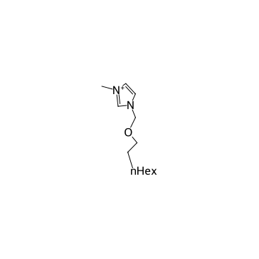 CCCCCCCCOCn1cc[n+](C)c1